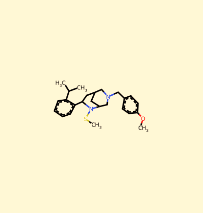 COc1ccc(CN2CC3CC(C2)N(SC)C(c2ccccc2C(C)C)C3)cc1